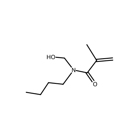 C=C(C)C(=O)N(CO)CCCC